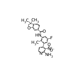 Cc1c(NC(=O)c2ccc3c(c2)OCC3(C)C)cc(F)cc1-c1ccnc(N)c1[N+](=O)[O-]